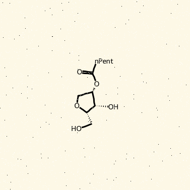 CCCCCC(=O)O[C@H]1CO[C@@H](CO)[C@H]1O